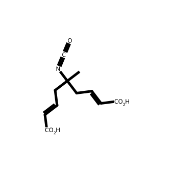 CC(CC=CC(=O)O)(CC=CC(=O)O)N=C=O